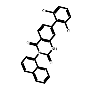 O=c1[nH]c2cc(-c3c(Cl)cccc3Cl)ccc2c(=O)n1-c1cccc2ccccc12